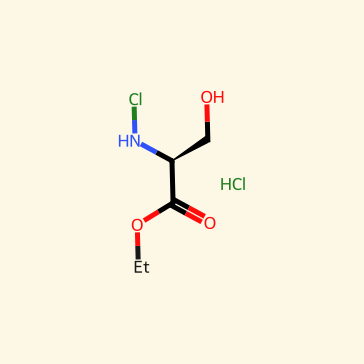 CCOC(=O)[C@H](CO)NCl.Cl